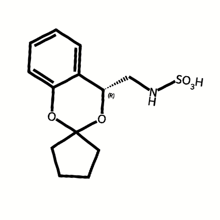 O=S(=O)(O)NC[C@@H]1OC2(CCCC2)Oc2ccccc21